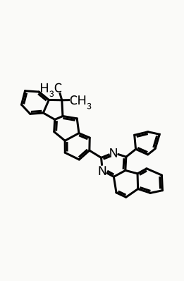 CC1(C)c2ccccc2-c2cc3ccc(-c4nc(-c5ccccc5)c5c(ccc6ccccc65)n4)cc3cc21